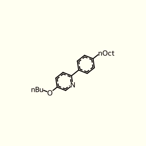 CCCCCCCCc1ccc(-c2ccc(OCCCC)cn2)cc1